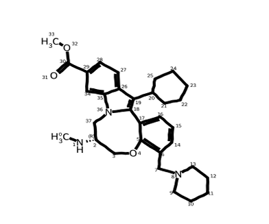 CN[C@H]1COc2c(CN3CCCCC3)cccc2-c2c(C3CCCCC3)c3ccc(C(=O)OC)cc3n2C1